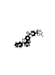 CN(C)C1CCN(C(=O)[C@H]2CCc3c(sc4ncnc(Nc5ccn6nccc6c5)c34)C2)CC1